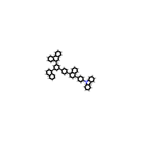 c1ccc2c(-c3cc(-c4ccc(-c5ccc(-c6ccc(-n7c8ccccc8c8ccccc87)cc6)c6ccccc56)cc4)cc(-c4cc5ccccc5c5ccccc45)c3)cccc2c1